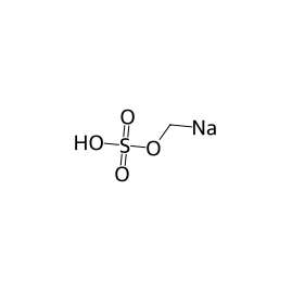 O=S(=O)(O)O[CH2][Na]